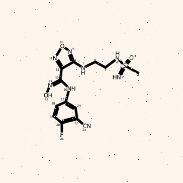 CS(=N)(=O)NCCNc1nonc1/C(=N/O)Nc1ccc(F)c(C#N)c1